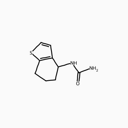 NC(=O)NC1CCCc2sccc21